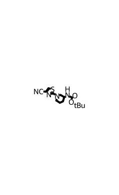 CC(C)(C)OC(=O)NC1CCCN(c2nc(C#N)cs2)C1